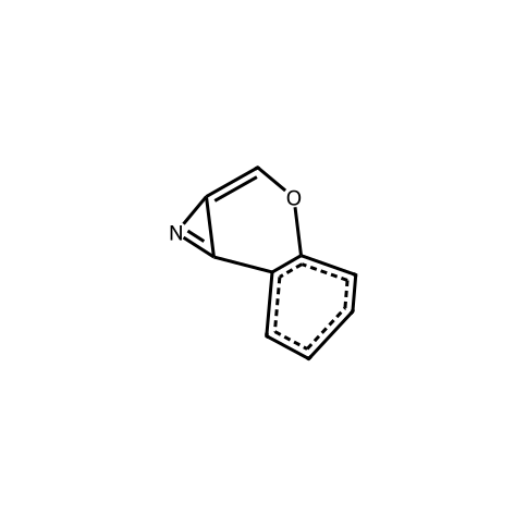 C1=C2N=C2c2ccccc2O1